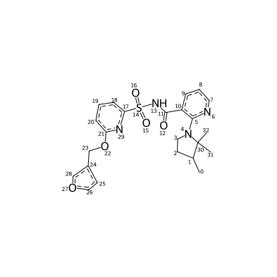 CC1CCN(c2ncccc2C(=O)NS(=O)(=O)c2cccc(OCc3ccoc3)n2)C1(C)C